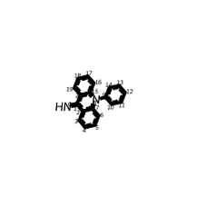 N=c1c2ccccc2n(-c2ccccc2)c2ccccc12